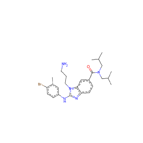 Cc1cc(Nc2nc3ccc(C(=O)N(CC(C)C)CC(C)C)cc3n2CCCN)ccc1Br